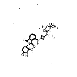 CN(C(=O)OC(C)(C)C)[C@H]1C[C@H](Nc2cccc3c2C(=O)N(C2CCC(=O)NC2=O)C3=O)C1